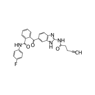 C#CCCC(=O)Nc1nc2ccc(C(=O)c3ccccc3C(=O)Nc3ccc(F)cc3)cc2[nH]1